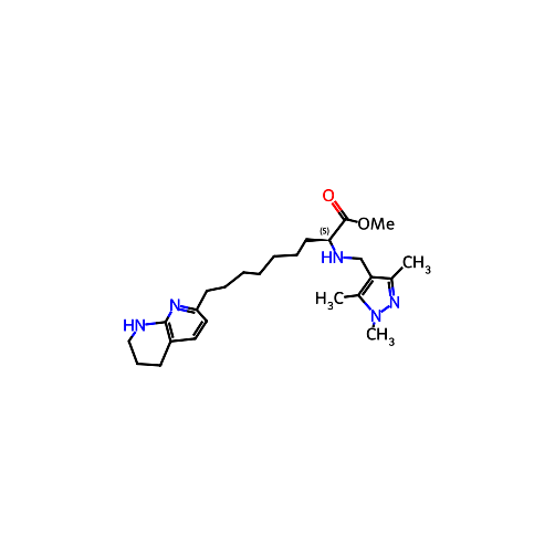 COC(=O)[C@H](CCCCCCCc1ccc2c(n1)NCCC2)NCc1c(C)nn(C)c1C